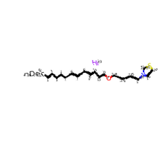 CCCCCCCCCCCCCCCCCCCCCCOCCCCN1C=CSC1.I